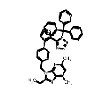 CCc1nc2c(C)cc(C)nc2n1Cc1ccc(-c2ccsc2-c2nnnn2C(c2ccccc2)(c2ccccc2)c2ccccc2)cc1